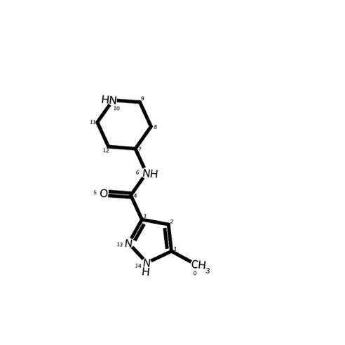 Cc1cc(C(=O)NC2CCNCC2)n[nH]1